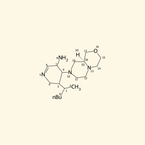 CCCCC(C)C1CN=CC(N)C1N1CCN2CCOC[C@@H]2C1